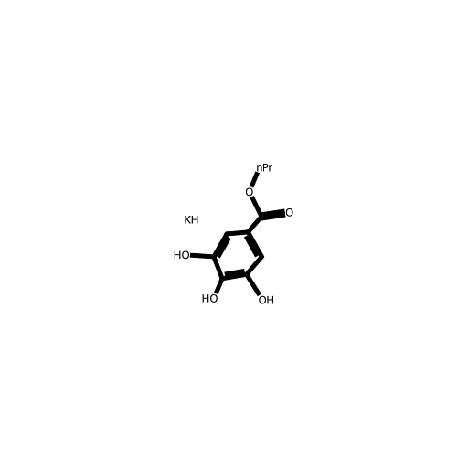 CCCOC(=O)c1cc(O)c(O)c(O)c1.[KH]